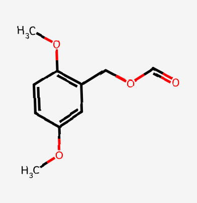 COc1ccc(OC)c(COC=O)c1